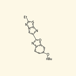 CCCCOc1ccc2nc(-c3cn4nc(CC)sc4n3)oc2c1